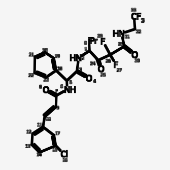 CC(C)C(NC(=O)C(NC(=O)C=Cc1cccc(Cl)c1)c1ccccc1)C(=O)C(F)(F)C(=O)NCC(F)(F)F